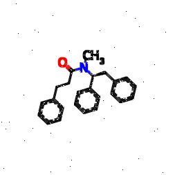 CN(C(=O)CCc1ccccc1)[C@@H](Cc1ccccc1)c1ccccc1